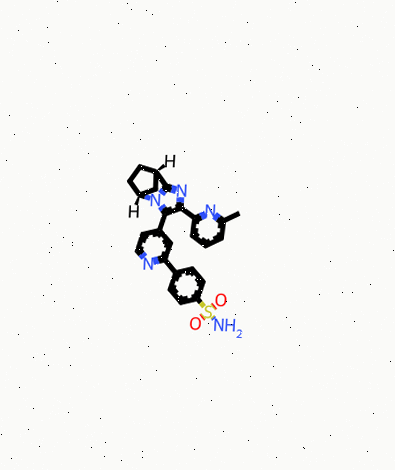 Cc1cccc(-c2nc3n(c2-c2ccnc(-c4ccc(S(N)(=O)=O)cc4)c2)[C@@H]2CC[C@H]3C2)n1